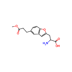 COC(=O)CCc1ccc2oc(CC(N)C(=O)O)cc2c1